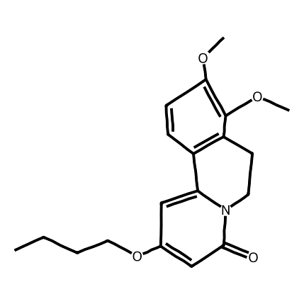 CCCCOc1cc2n(c(=O)c1)CCc1c-2ccc(OC)c1OC